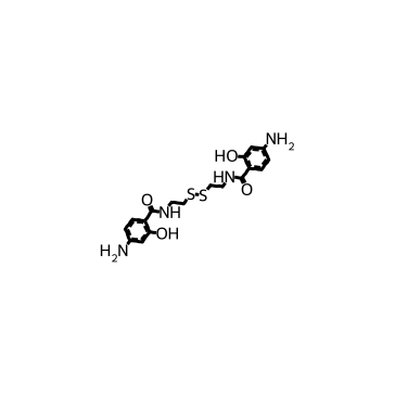 Nc1ccc(C(=O)NCCSSCCNC(=O)c2ccc(N)cc2O)c(O)c1